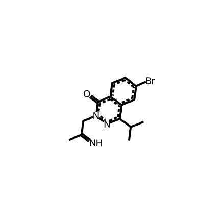 CC(=N)Cn1nc(C(C)C)c2cc(Br)ccc2c1=O